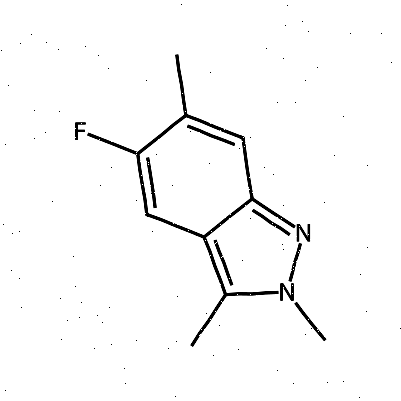 Cc1cc2nn(C)c(C)c2cc1F